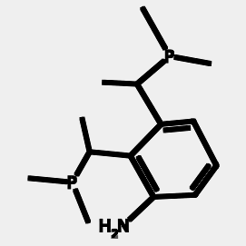 CC(c1cccc(N)c1C(C)P(C)C)P(C)C